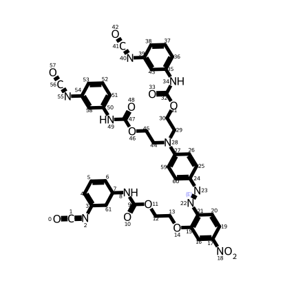 O=C=NC1=CC=CC(NC(=O)OCCOc2cc([N+](=O)[O-])ccc2/N=N/c2ccc(N(CCOC(=O)Nc3cccc(N=C=O)c3)CCOC(=O)Nc3cccc(N=C=O)c3)cc2)C1